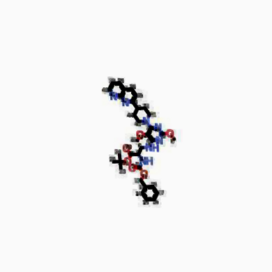 COc1nc(NCC(NC(=O)OCc2ccccc2)C(=O)OC(C)(C)C)c(OC)c(N2CCC(c3ccc4cccnc4n3)CC2)n1